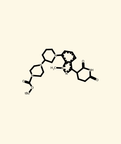 Cn1nc(C2CCC(=O)NC2=O)c2cccc(N3CCCC(N4CCN(C(=O)OC(C)(C)C)CC4)C3)c21